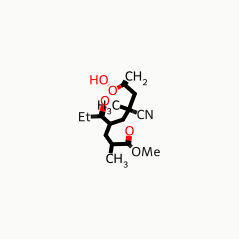 C=C(CC(C)(C#N)CC(CC(C)C(=O)OC)C(=O)CC)OO